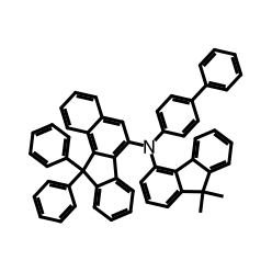 CC1(C)c2ccccc2-c2c(N(c3ccc(-c4ccccc4)cc3)c3cc4ccccc4c4c3-c3ccccc3C4(c3ccccc3)c3ccccc3)cccc21